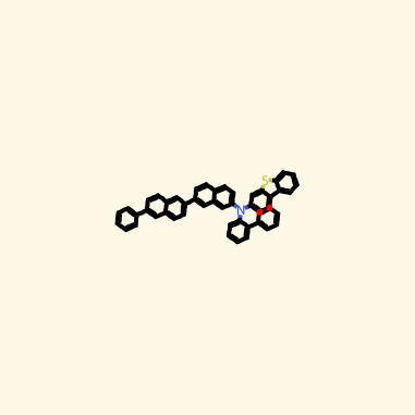 c1ccc(-c2ccc3cc(-c4ccc5ccc(N(c6ccc7c(c6)sc6ccccc67)c6ccccc6-c6ccccc6)cc5c4)ccc3c2)cc1